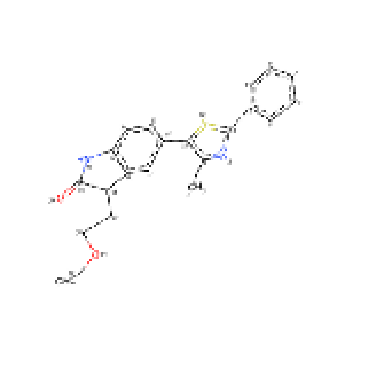 Cc1nc(-c2ccccc2)sc1-c1ccc2c(c1)C(CCOC=O)C(=O)N2